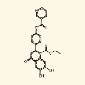 CCOC(=O)n1c(-c2ccc(OC(=O)c3cccnc3)cc2)cc(=O)c2cc(O)c(O)cc21